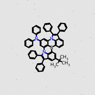 CC(C)(C)c1cc2c3c(c1)c(-c1ccccc1)c(-c1ccccc1)n3-c1cc(N(c3ccccc3)c3ccccc3)cc3c1B2c1cccc2c(-c4ccccc4)c(-c4ccccc4)n-3c12